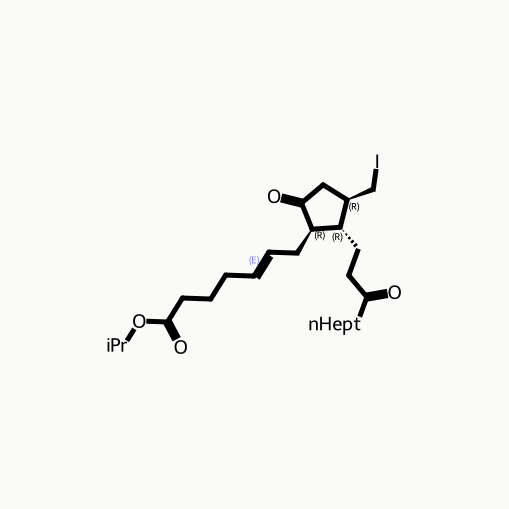 CCCCCCCC(=O)CC[C@H]1[C@H](CI)CC(=O)[C@@H]1C/C=C/CCCC(=O)OC(C)C